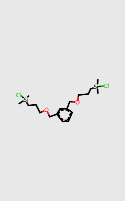 C[Si](C)(Cl)CCCOCc1cccc(COCCC[Si](C)(C)Cl)c1